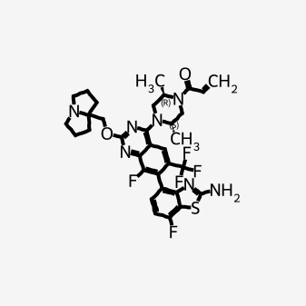 C=CC(=O)N1C[C@H](C)N(c2nc(OCC34CCCN3CCC4)nc3c(F)c(-c4ccc(F)c5sc(N)nc45)c(C(F)(F)F)cc23)C[C@H]1C